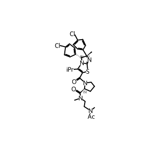 CC(=O)N(C)CCN(C)C(=O)[C@@H]1CCCN1C(=O)C1=C(C(C)C)N2C(=N[C@@](C)(c3ccc(Cl)cc3)[C@H]2c2ccc(Cl)cc2)S1